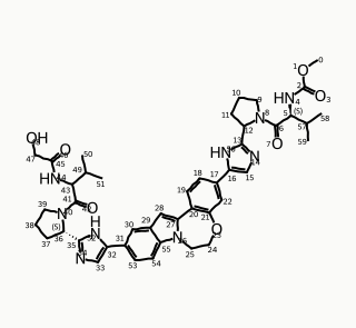 COC(=O)N[C@H](C(=O)N1CCCC1c1ncc(-c2ccc3c(c2)OCCn2c-3cc3cc(-c4cnc([C@@H]5CCCN5C(=O)C(NC(=O)CO)C(C)C)[nH]4)ccc32)[nH]1)C(C)C